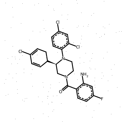 Nc1cc(F)ccc1C(=O)N1CCN(c2ccc(Cl)cc2Cl)[C@H](C2C=CC(Cl)=CC2)C1